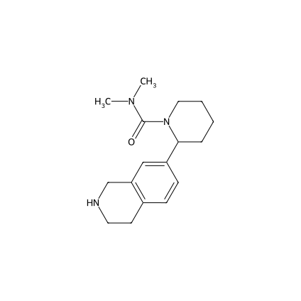 CN(C)C(=O)N1CCCCC1c1ccc2c(c1)CNCC2